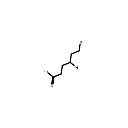 [2H]C(=O)CCC([2H])CCC(C)C